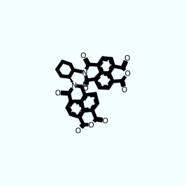 O=C1OC(=O)c2ccc3c4c(ccc1c24)C(=O)N(C1CCCC[C@@H]1N1C(=O)c2ccc4c5c(ccc(c25)C1=O)C(=O)OC4=O)C3=O